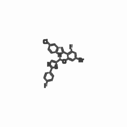 Fc1ccc(-c2ncc(C3Oc4cc(Br)cc(F)c4-c4cc5cc(Cl)ccc5n43)s2)cc1